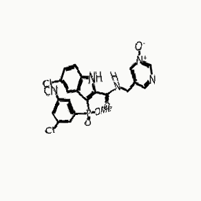 [C-]#[N+]c1cc(Cl)cc(P(=O)(OC)c2c(C(=O)NCc3cnc[n+]([O-])c3)[nH]c3ccc(Cl)cc23)c1